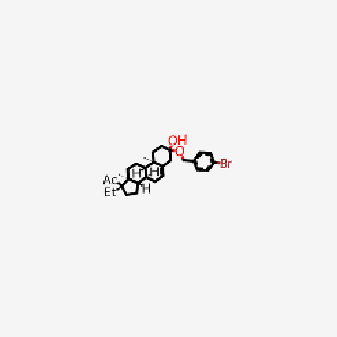 CC[C@]1(C(C)=O)CC[C@H]2[C@@H]3CC=C4CC(O)(OCc5ccc(Br)cc5)CC[C@]4(C)[C@H]3CC[C@@]21C